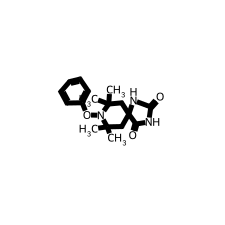 CC1(C)CC2(CC(C)(C)N1Oc1ccccc1)NC(=O)NC2=O